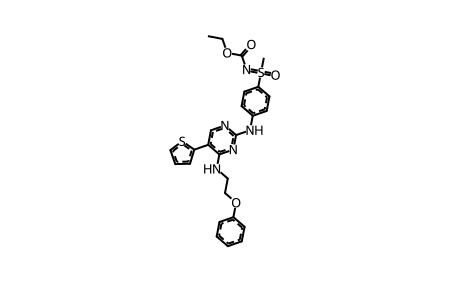 CCOC(=O)N=S(C)(=O)c1ccc(Nc2ncc(-c3cccs3)c(NCCOc3ccccc3)n2)cc1